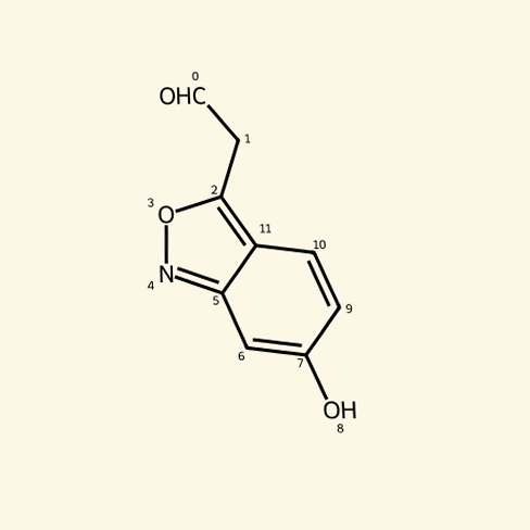 O=CCc1onc2cc(O)ccc12